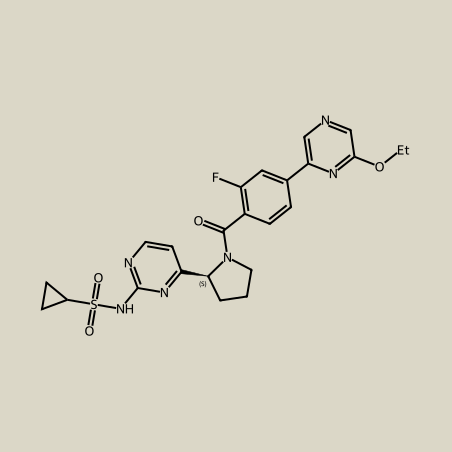 CCOc1cncc(-c2ccc(C(=O)N3CCC[C@H]3c3ccnc(NS(=O)(=O)C4CC4)n3)c(F)c2)n1